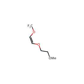 COCCO/[C]=C\OC(F)(F)F